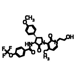 COc1ccc([C@@H]2CN(c3c(C)ccn(CCO)c3=O)C(=O)[C@H]2NC(=O)c2ccc(OC(F)(F)F)cc2)cc1